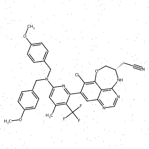 COc1ccc(CN(Cc2ccc(OC)cc2)c2cc(C)c(C(F)(F)F)c(-c3cc4ncnc5c4c(c3Cl)OC[C@H](CC#N)N5)n2)cc1